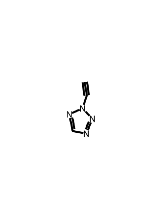 [C]#Cn1ncnn1